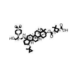 CC1(C[C@@H]2CC[C@]3(NC[C@H](CO)N4CCS(=O)(=O)CC4)CC[C@]4(C)[C@H](CC[C@@H]5[C@@]6(C)CC[C@H](OC(=O)[C@H]7C[C@@H](C(=O)O)C7(C)C)C(C)(C)[C@@H]6CC[C@]54C)[C@@H]23)CC1